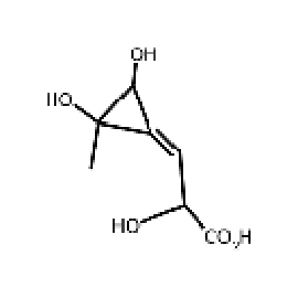 CC1(O)C(=CC(O)C(=O)O)C1O